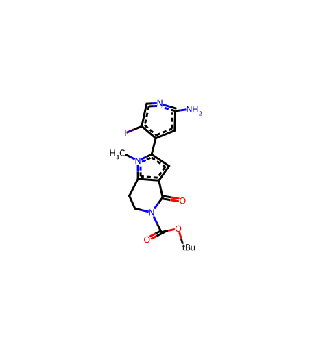 Cn1c(-c2cc(N)ncc2I)cc2c1CCN(C(=O)OC(C)(C)C)C2=O